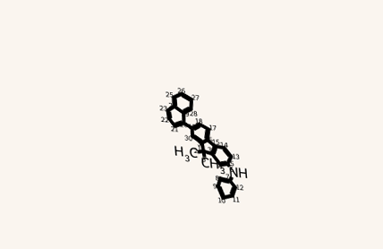 CC1(C)c2cc(Nc3ccccc3)ccc2-c2ccc(-c3cccc4ccccc34)cc21